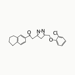 O=C(CC1=NN=C(COc2ccccc2Cl)C1)c1ccc2c(c1)CCCC2